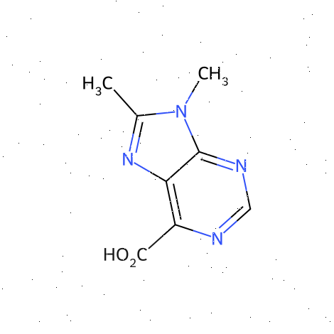 Cc1nc2c(C(=O)O)ncnc2n1C